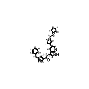 O=C(Nc1c[nH]c2ncc(-c3cnn(CCN4CCCC4)c3)cc12)c1cnn(Cc2ccccc2)c1